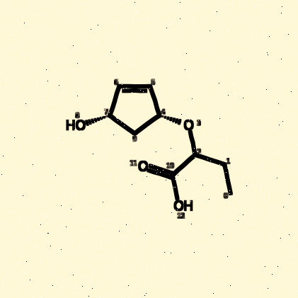 CCC(O[C@H]1C=C[C@@H](O)C1)C(=O)O